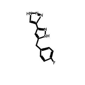 Fc1ccc(Cc2cc(-c3c[nH]nn3)n[nH]2)cc1